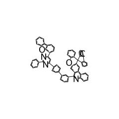 c1ccc(-c2nc(-c3ccc(-c4cccc(-c5nc6ccccc6c6cc7c(cc56)Oc5ccccc5C75c6ccccc6-c6ccccc65)c4)cc3)cc(-c3cccc4c3oc3ccccc34)n2)cc1